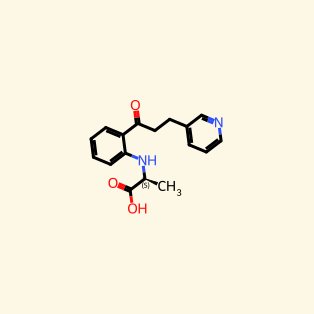 C[C@H](Nc1ccccc1C(=O)CCc1cccnc1)C(=O)O